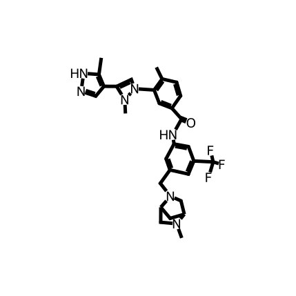 Cc1ccc(C(=O)Nc2cc(CN3CC4CC3CN4C)cc(C(F)(F)F)c2)cc1-n1cc(-c2cn[nH]c2C)n1C